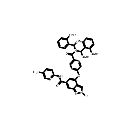 CCn1cc2c(Oc3cnc(C(=O)N(C(OC)c4ccccc4OC)C(OC)c4ccccc4OC)cn3)cc(C(=O)Nc3ccc(C)cn3)cc2n1